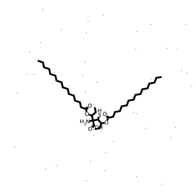 CCCCCCCCCCCCCCCC(=O)OC(CC)C(S)C(N)(C(=O)O)C(CC)OC(=O)CCCCCCCCCCCCCCC